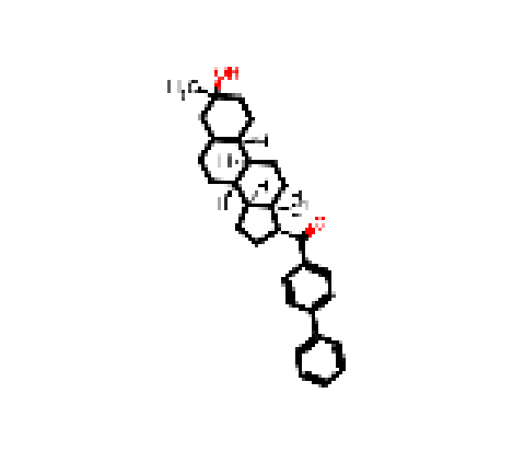 C[C@@]1(O)CC[C@H]2C(CC[C@@H]3[C@@H]2CC[C@]2(C)[C@@H](C(=O)c4ccc(-c5ccccc5)cc4)CC[C@@H]32)C1